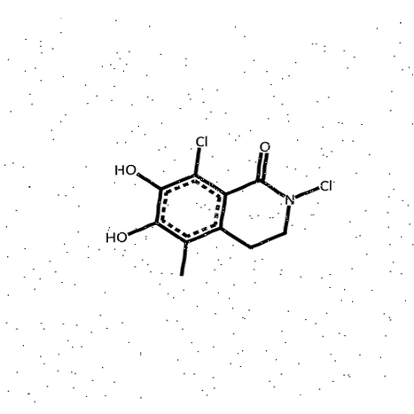 Cc1c(O)c(O)c(Cl)c2c1CCN(Cl)C2=O